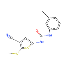 CSc1sc(NC(=O)Nc2cccc(C)c2)cc1C#N